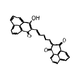 O=C1C(C=CC=CC=c2c(=O)c3cccc4cccc(c2=O)c43)=C(O)c2cccc3cccc1c23